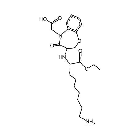 CCOC(=O)[C@H](CCCCCCCN)NC1COc2ccccc2N(CC(=O)O)C1=O